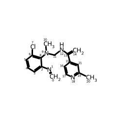 C=Nc1cccc(Cl)c1N(C)CNC(=C)c1ccnc(C)c1